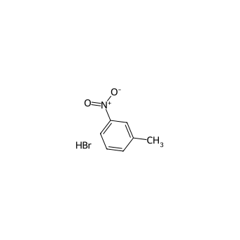 Br.Cc1cccc([N+](=O)[O-])c1